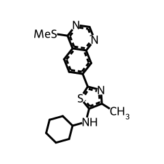 CSc1ncnc2cc(-c3nc(C)c(NC4CCCCC4)s3)ccc12